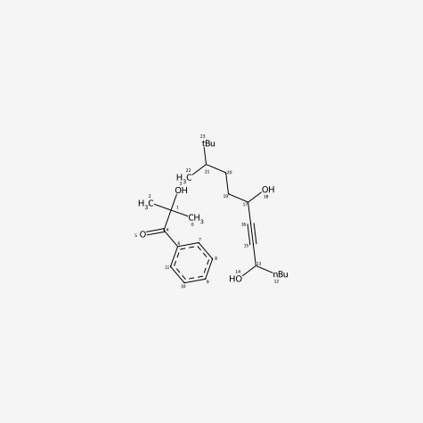 CC(C)(O)C(=O)c1ccccc1.CCCCC(O)C#CC(O)CCC(C)C(C)(C)C